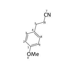 COc1ccc(C[CH]C#N)cc1